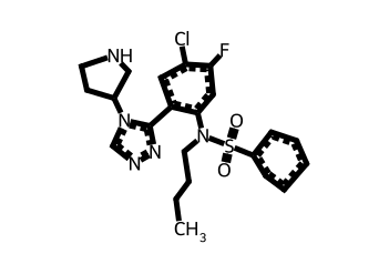 CCCCN(c1cc(F)c(Cl)cc1-c1nncn1C1CCNC1)S(=O)(=O)c1ccccc1